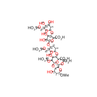 CO[C@@H]1C[C@@H](O)[C@H](O[C@@H]2OC(C(=O)O)[C@@H](O[C@@H]3CC[C@H](O[C@@H]4OC(C(=O)O)[C@@H](O[C@@H]5C[C@@H](O)[C@H](O)C(COS(=O)(=O)O)O5)[C@H](O)C4O)C(COS(=O)(=O)O)O3)[C@H](O)C2OS(=O)(=O)O)C(COS(=O)(=O)O)O1